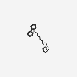 c1ccc2c(c1)c1ccccc1n2CCCCCCOC1CCCCO1